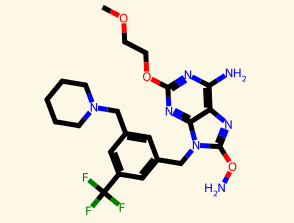 COCCOc1nc(N)c2nc(ON)n(Cc3cc(CN4CCCCC4)cc(C(F)(F)F)c3)c2n1